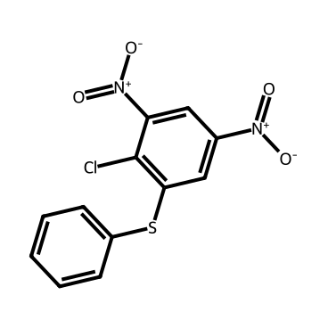 O=[N+]([O-])c1cc(Sc2ccccc2)c(Cl)c([N+](=O)[O-])c1